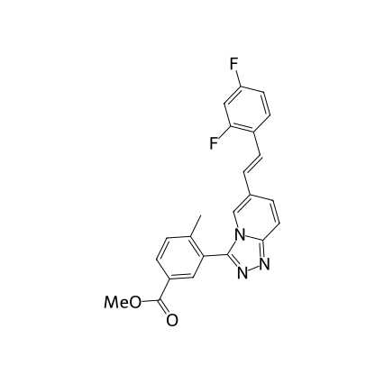 COC(=O)c1ccc(C)c(-c2nnc3ccc(C=Cc4ccc(F)cc4F)cn23)c1